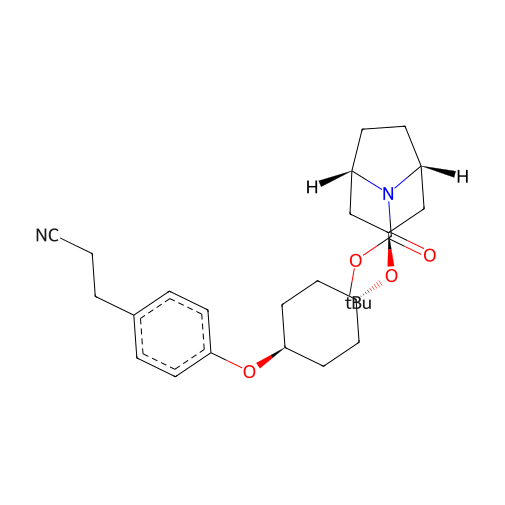 CC(C)(C)OC(=O)N1[C@@H]2CC[C@H]1C[C@H](O[C@H]1CC[C@H](Oc3ccc(CCC#N)cc3)CC1)C2